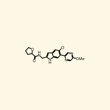 COc1cnc(-c2cc3[nH]c(CNC(=O)C4CCCO4)cc3cc2Cl)cn1